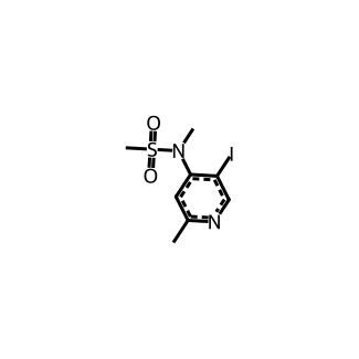 Cc1cc(N(C)S(C)(=O)=O)c(I)cn1